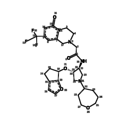 O=C(CN1CCn2c(cc(C(F)(F)F)cc2=O)C1)N[C@H]1CN(C2CCCOCC2)C[C@@H]1OC1CCc2ccoc21